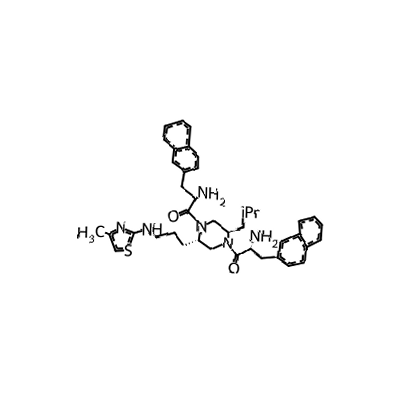 Cc1csc(NCCC[C@H]2CN(C(=O)[C@H](N)Cc3ccc4ccccc4c3)[C@H](CC(C)C)CN2C(=O)[C@H](N)Cc2ccc3ccccc3c2)n1